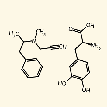 C#CCN(C)C(C)Cc1ccccc1.N[C@@H](Cc1ccc(O)c(O)c1)C(=O)O